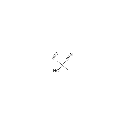 C#N.CC(C)(O)C#N